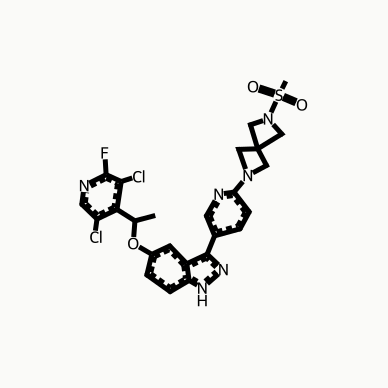 CC(Oc1ccc2[nH]nc(-c3ccc(N4CC5(C4)CN(S(C)(=O)=O)C5)nc3)c2c1)c1c(Cl)cnc(F)c1Cl